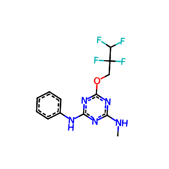 CNc1nc(Nc2ccccc2)nc(OCC(F)(F)C(F)F)n1